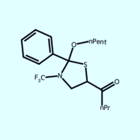 CCCCCOC1(c2ccccc2)SC(C(=O)CCC)CN1C(F)(F)F